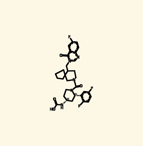 O=C(O)N[C@@H]1CCN(C(=O)N2CCC(Cn3cnc4ccc(F)cc4c3=O)C3(CCCC3)C2)[C@H](c2cc(F)ccc2F)C1